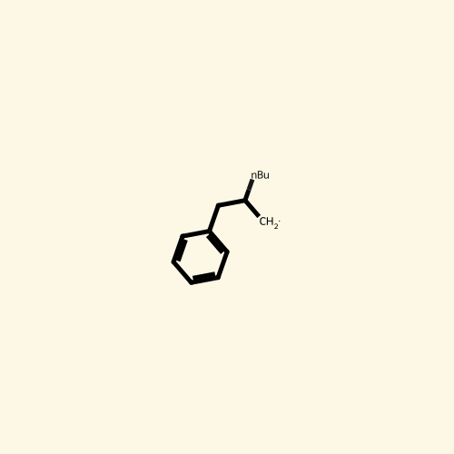 [CH2]C(CCCC)Cc1ccccc1